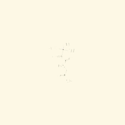 CC(=O)CNC(=O)C(=O)C(C)(C)C